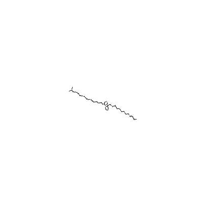 CCCCCCCCCCCCCC(=O)OCCCCCCCCCCCC(C)C